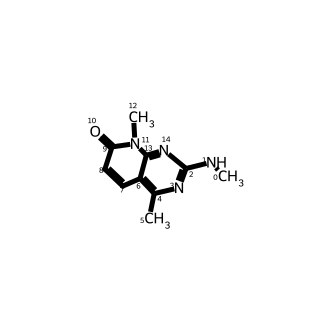 CNc1nc(C)c2ccc(=O)n(C)c2n1